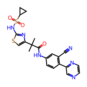 CC(C)(C(=O)Nc1ccc(-c2cnccn2)c(C#N)c1)c1csc(NS(=O)(=O)C2CC2)n1